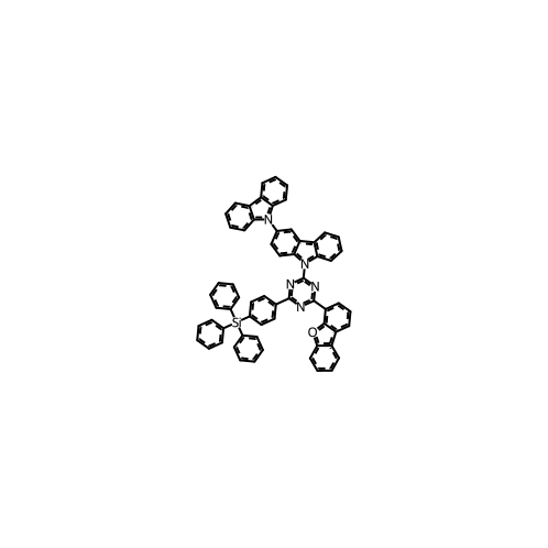 c1ccc([Si](c2ccccc2)(c2ccccc2)c2ccc(-c3nc(-c4cccc5c4oc4ccccc45)nc(-n4c5ccccc5c5cc(-n6c7ccccc7c7ccccc76)ccc54)n3)cc2)cc1